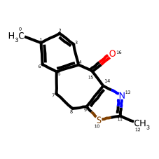 Cc1ccc2c(c1)CCc1sc(C)nc1C2=O